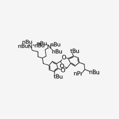 CCCCC(CCC)Cc1cc2c(c(C(C)(C)C)c1)OC1OC2Oc2c1cc(CC(CCC[N+](CCCC)(CCCC)CCCC)CC[N+](CCCC)(CCCC)CCCC)cc2C(C)(C)C